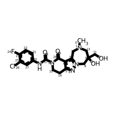 CN1Cc2c3c(nn2CC(O)(CO)C1)CCN(C(=O)Nc1ccc(F)c(Cl)c1)C3=O